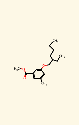 CCCCC(CC)COc1cc(C)cc(C(=O)OC)c1